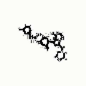 Cc1cccc(NC(=O)Nc2cc(F)c(-c3cc(CN4CCOCC4)n4ncnc(N)c34)cc2F)c1